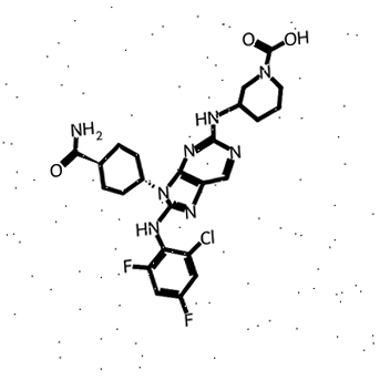 NC(=O)[C@H]1CC[C@H](n2c(Nc3c(F)cc(F)cc3Cl)nc3cnc(NC4CCCN(C(=O)O)C4)nc32)CC1